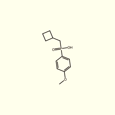 COc1ccc(P(=O)(O)CC2CCC2)cc1